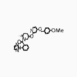 COc1ccc(COc2ccnc(O[C@@H]3CC[C@@H](C)N(C(=O)c4ccccc4-n4nccn4)C3)c2)cc1